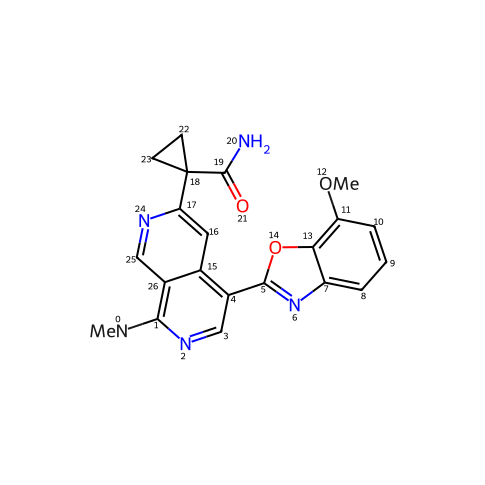 CNc1ncc(-c2nc3cccc(OC)c3o2)c2cc(C3(C(N)=O)CC3)ncc12